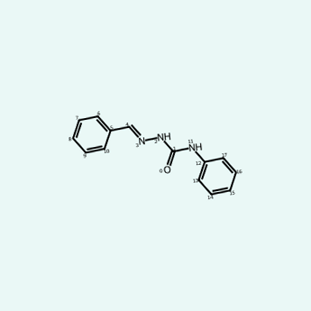 O=C(NN=Cc1ccccc1)Nc1ccccc1